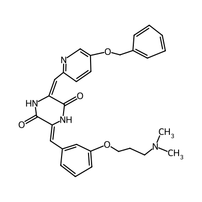 CN(C)CCCOc1cccc(/C=c2\[nH]c(=O)/c(=C\c3ccc(OCc4ccccc4)cn3)[nH]c2=O)c1